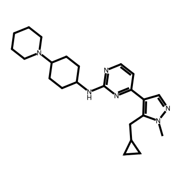 Cn1ncc(-c2ccnc(NC3CCC(N4CCCCC4)CC3)n2)c1CC1CC1